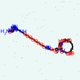 CO[C@H]1C[C@@H]2CC[C@@H](C)[C@@](O)(O2)C(=O)C(=O)N2CCCC[C@H]2C(=O)O[C@H]([C@H](N)C[C@@H]2CC[C@@H](OCCOCc3cn(CCOCCOCCOCCOCCOCCOCCOCCOCCCNCCCCn4nc(-c5ccc6oc(N)nc6c5)c5c(N(C)C)ncnc54)nn3)[C@H](OC)C2)CC(=O)[C@H](C)/C=C(\C)[C@@H](O)[C@@H](O)C(=O)[C@H](C)C[C@H](C)/C=C/C=C/C=C/1C